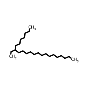 [CH2]CC(CCCCCCC)CCCCCCCCCCCCCCC